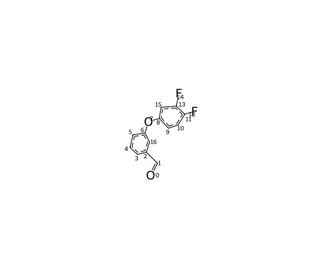 O=Cc1cccc(Oc2ccc(F)c(F)c2)c1